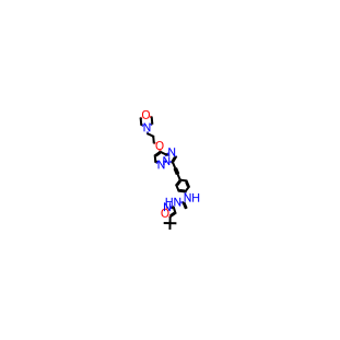 C=C(Nc1ccc(C#Cc2cnc3c(OCCCN4CCOCC4)ccnn23)cc1)Nc1cc(C(C)(C)C)on1